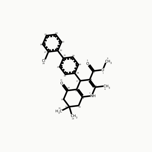 COC(=O)C1=C(C)NC2=C(C(=O)CC(C)(C)C2)C1c1ccc(-c2ccccc2Cl)cc1